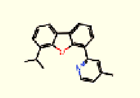 Cc1ccnc(-c2cccc3c2oc2c(C(C)C)cccc23)c1